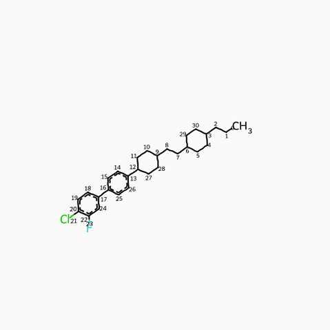 CCCC1CCC(CCC2CCC(c3ccc(-c4ccc(Cl)c(F)c4)cc3)CC2)CC1